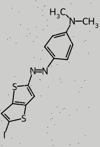 CN(C)c1ccc(N=Nc2cc3sc(I)cc3s2)cc1